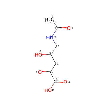 CC(=O)NCC(O)CC(=O)C(=O)O